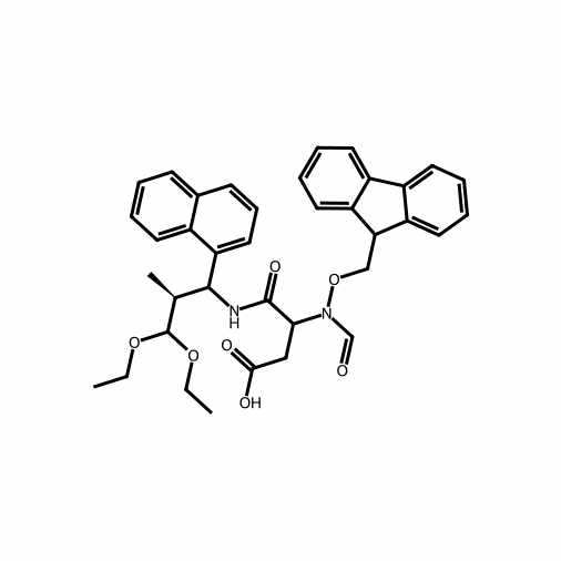 CCOC(OCC)[C@@H](C)C(NC(=O)C(CC(=O)O)N(C=O)OCC1c2ccccc2-c2ccccc21)c1cccc2ccccc12